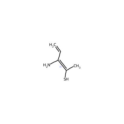 C=C/C(N)=C(\C)S